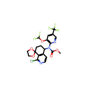 COC(=O)N(c1ncc(C(F)(F)F)cc1OC(F)F)C1CCC2(OCCO2)c2c1ccnc2Cl